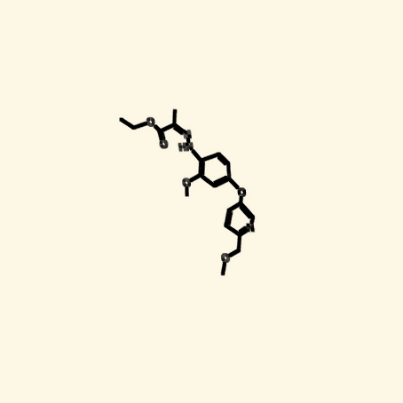 CCOC(=O)/C(C)=N\Nc1ccc(Oc2ccc(COC)nc2)cc1OC